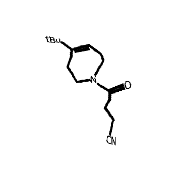 CC(C)(C)C1=CCN(C(=O)CCC#N)CC1